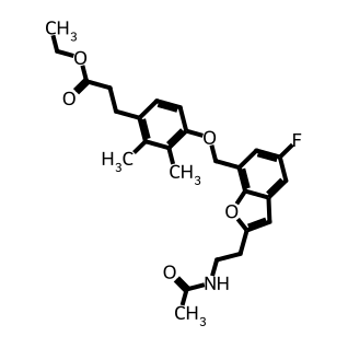 CCOC(=O)CCc1ccc(OCc2cc(F)cc3cc(CCNC(C)=O)oc23)c(C)c1C